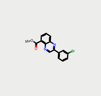 COC(=O)c1cccc2nc(-c3cccc(Br)c3)cnc12